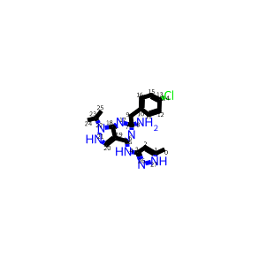 Cc1cc(NC2=NC(N)(Cc3ccc(Cl)cc3)N=C3C2=CNN3C(C)C)n[nH]1